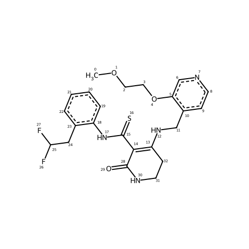 COCCOc1cnccc1CNC1=C(C(=S)Nc2ccccc2CC(F)F)C(=O)NCC1